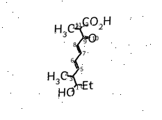 CCC(O)C(C)C=CC=CC(=O)C(C)C(=O)O